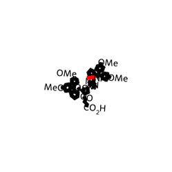 COc1ccc(C(Nc2ncnc3c2ncn3[C@H]2C[C@H](OC(=O)CCC(=O)O)[C@@H](COC(c3ccccc3)(c3ccc(OC)cc3)c3ccc(OC)cc3)O2)(c2ccccc2)c2ccc(OC)cc2)cc1